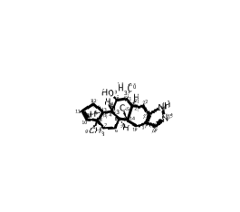 C[C@H]1[C@H](O)[C@@H]2[C@H](CC[C@]3(C)C=CC[C@@H]23)[C@@]2(C)Cc3cn[nH]c3C[C@H]12